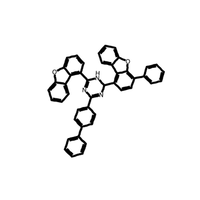 c1ccc(-c2ccc(C3=NC(c4ccc(-c5ccccc5)c5oc6ccccc6c45)NC(c4cccc5oc6ccccc6c45)=N3)cc2)cc1